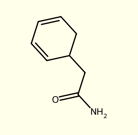 NC(=O)CC1C=CC=CC1